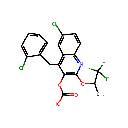 CC(Oc1nc2ccc(Cl)cc2c(Cc2ccccc2Cl)c1OC(=O)O)C(F)(F)F